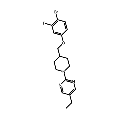 CCc1cnc(N2CCC(COc3ccc(Br)c(F)c3)CC2)nc1